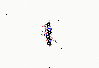 CNC(=O)c1c(-c2ccc(F)cc2)oc2cc(N(C)OC)c(-c3ccc4nnn([C@H](CO)c5ccc(F)cc5)c(=O)c4c3)cc12